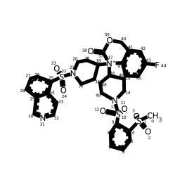 CS(=O)(=O)c1ccccc1S(=O)(=O)N1CCC([N+]2(C3CCN(S(=O)(=O)c4cccc5cnccc45)CC3)C(=O)OCc3cc(F)ccc32)CC1